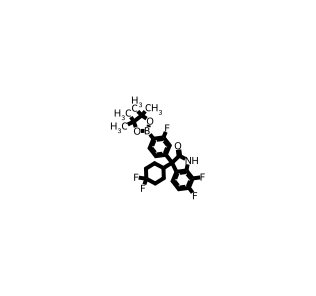 CC1(C)OB(c2ccc(C3(C4CCC(F)(F)CC4)C(=O)Nc4c3ccc(F)c4F)cc2F)OC1(C)C